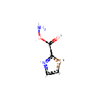 NOC(=O)c1nccs1